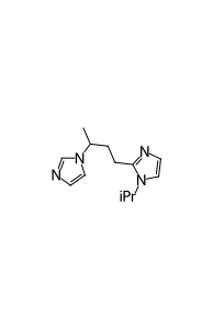 CC(CCc1nccn1C(C)C)n1ccnc1